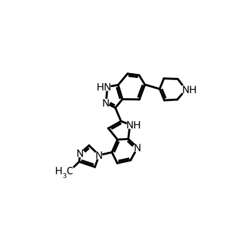 Cc1cn(-c2ccnc3[nH]c(-c4n[nH]c5ccc(C6=CCNCC6)cc45)cc23)cn1